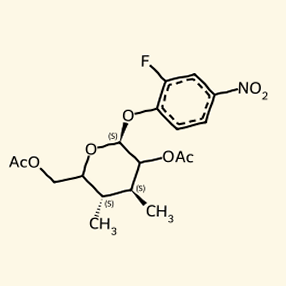 CC(=O)OCC1O[C@@H](Oc2ccc([N+](=O)[O-])cc2F)C(OC(C)=O)[C@@H](C)[C@@H]1C